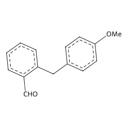 COc1ccc(Cc2ccccc2C=O)cc1